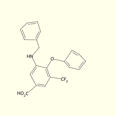 O=C(O)c1cc(NCc2ccccc2)c(Oc2ccccc2)c(C(F)(F)F)c1